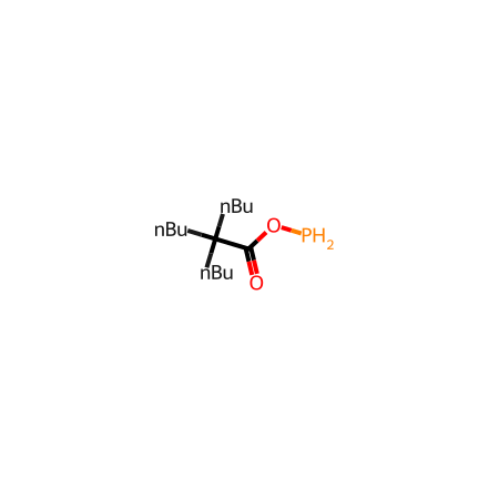 CCCCC(CCCC)(CCCC)C(=O)OP